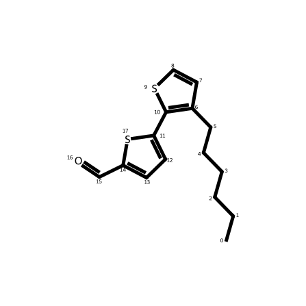 CCCCCCc1ccsc1-c1ccc(C=O)s1